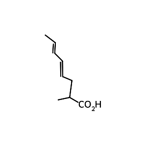 C/C=C/C=C/CC(C)C(=O)O